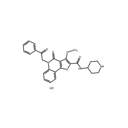 COc1c(C(=O)NC2CCNCC2)sc2c1c(=O)n(CC(=O)c1ccccc1)c1ccccc21.Cl